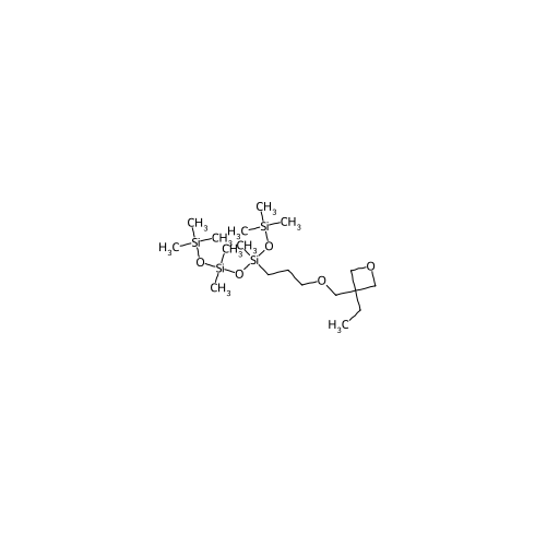 CCC1(COCCC[Si](C)(O[Si](C)(C)C)O[Si](C)(C)O[Si](C)(C)C)COC1